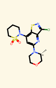 C[C@@H]1COCCN1c1cc(N2CCCCS2(=O)=O)c2snc(Cl)c2n1